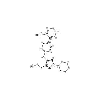 CC(C)CCn1nc(C2CCCCC2)nc1Cc1ccc(-c2ccccc2C(=O)O)cc1